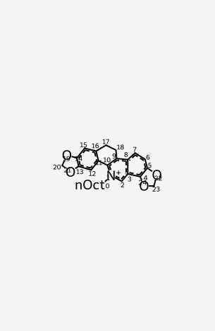 CCCCCCCC[n+]1cc2c3c(ccc2c2c1-c1cc4c(cc1CC2)OCO4)OCO3